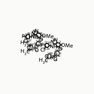 COc1cc2ncnc(Nc3ccc(F)c(Cl)c3)c2cc1OC1CCN(C(=O)N2CCOC(C)C2)CC1.COc1cc2ncnc(Nc3ccc(F)c(Cl)c3)c2cc1OC1CCN(C(=O)N2C[C@@H](C)O[C@@H](C)C2)CC1